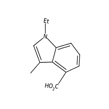 CCn1cc(C)c2c(C(=O)O)cccc21